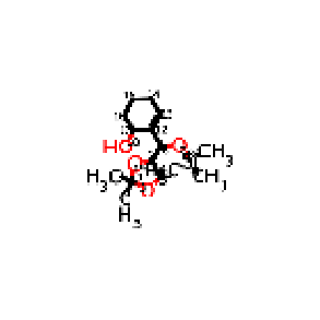 CC1(C)OCC(C(O[Si](C)(C)C)C2=CCCCC2O)O1